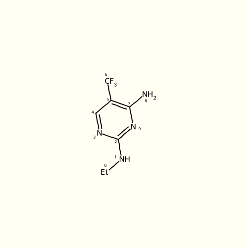 CCNc1ncc(C(F)(F)F)c(N)n1